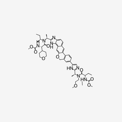 CCC(NC(=O)OC)C(=O)N([C@H](CC)COC)[C@@H](C)c1ncc(-c2ccc3c(c2)COc2cc4c(ccc5nc([C@H](C)N(C(=O)[C@@H](NC(=O)OC)C6CCOCC6)[C@@H](C)CC)[nH]c54)cc2-3)[nH]1